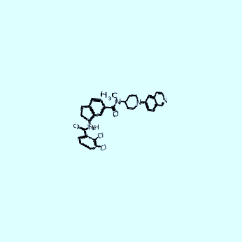 CN(C(=O)c1ccc2c(c1)C(NC(=O)c1cccc(Cl)c1Cl)CC2)C1CCN(c2ccc3cnccc3c2)CC1